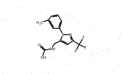 Cc1cccc(-n2nc(C(F)(F)F)cc2CNC(=O)O)c1